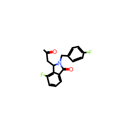 CC(=O)CC1c2c(F)cccc2C(=O)N1Cc1ccc(F)cc1